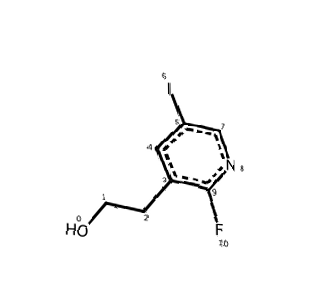 OCCc1cc(I)cnc1F